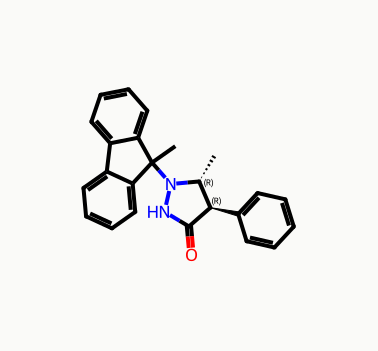 C[C@@H]1[C@@H](c2ccccc2)C(=O)NN1C1(C)c2ccccc2-c2ccccc21